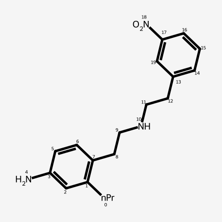 CCCc1cc(N)ccc1CCNCCc1cccc([N+](=O)[O-])c1